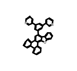 c1cncc(-c2cc(-c3cccnc3)cc(-c3cc4c5ccccc5c5ccccc5c4c4oc5ccccc5c34)c2)c1